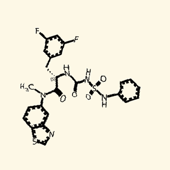 CN(C(=O)[C@H](Cc1cc(F)cc(F)c1)NC(=O)NS(=O)(=O)Nc1ccccc1)c1ccc2scnc2c1